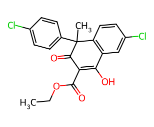 CCOC(=O)C1=C(O)c2cc(Cl)ccc2C(C)(c2ccc(Cl)cc2)C1=O